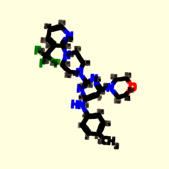 Cc1ccc(Nc2cc(N3CCOCC3)nc(N3CCN(c4ncccc4C(F)(F)F)CC3)n2)cc1